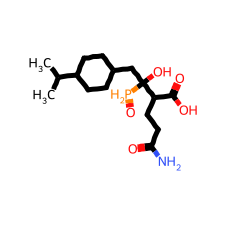 CC(C)C1CCC(CC(O)([PH2]=O)C(CCC(N)=O)C(=O)O)CC1